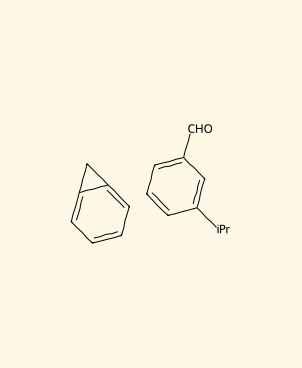 CC(C)c1cccc(C=O)c1.c1ccc2c(c1)C2